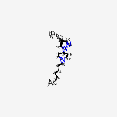 CC(=O)CCCCCN1CCC(n2cc(C(C)C)cn2)CC1